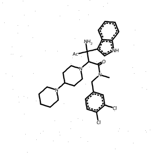 CC(=O)C(N)(c1c[nH]c2ccccc12)C(C(=O)N(C)Cc1ccc(Cl)c(Cl)c1)N1CCC(N2CCCCC2)CC1